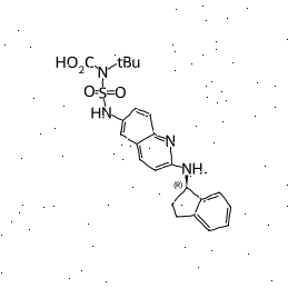 CC(C)(C)N(C(=O)O)S(=O)(=O)Nc1ccc2nc(N[C@@H]3CCc4ccccc43)ccc2c1